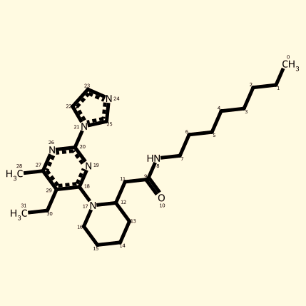 CCCCCCCCNC(=O)CC1CCCCN1c1nc(-n2ccnc2)nc(C)c1CC